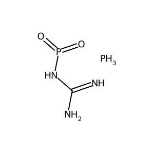 N=C(N)NP(=O)=O.P